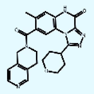 Cc1cc2[nH]c(=O)c3nnc(C4CCOCC4)n3c2cc1C(=O)N1CCc2cnccc2C1